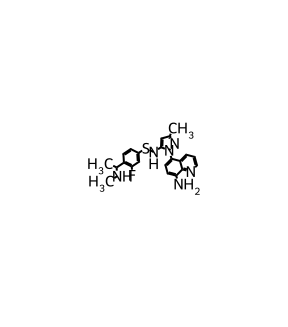 CNC(C)c1ccc(SNc2cc(C)nn2-c2ccc(N)c3ncccc23)cc1F